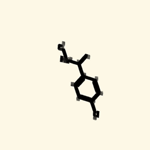 CC(NCl)c1ccc(Cl)cc1